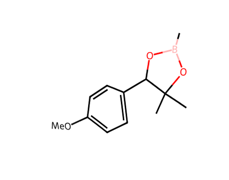 COc1ccc(C2OB(C)OC2(C)C)cc1